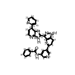 O=C(Nc1cncc(-c2ccc3[nH]nc(-c4nc5c(-c6ccccn6)ccnc5[nH]4)c3n2)c1)c1ccccc1